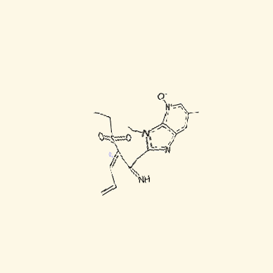 C=C/C=C(\C(=N)c1nc2cc(C)c[n+]([O-])c2n1C)S(=O)(=O)CC